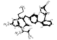 CCCc1c(Cc2ccc(-c3ccccc3-c3noc(=O)[nH]3)cc2)c(=O)n(C(C)C(C)=O)c2nc(C)nn12